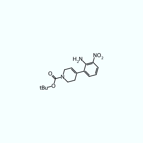 CC(C)(C)OC(=O)N1CC=C(c2cccc([N+](=O)[O-])c2N)CC1